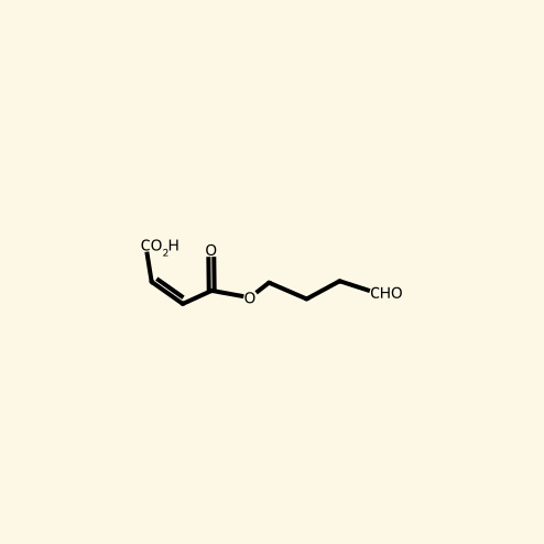 O=CCCCOC(=O)/C=C\C(=O)O